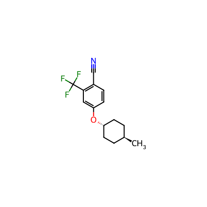 C[C@H]1CC[C@H](Oc2ccc(C#N)c(C(F)(F)F)c2)CC1